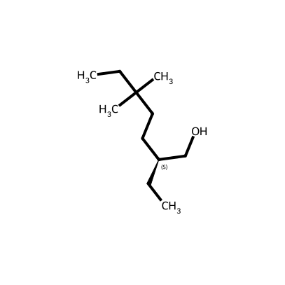 CC[C@H](CO)CCC(C)(C)CC